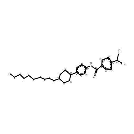 CCCCCCCCCCC1CCC(c2ccc(OC(=S)c3ccc(C(F)F)cc3)cc2)CC1